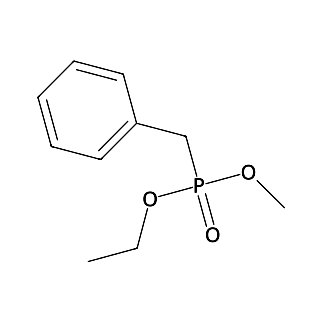 CCOP(=O)(Cc1ccccc1)OC